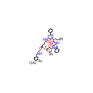 CC(=O)Oc1ccc(CNCCOCCCCC(=O)N[C@@H](CCc2ccccc2)C(=O)N[C@@H](CCC(C)C)C(=O)N[C@@H](Cc2ccccc2)C(=O)N[C@@H](CCC(C)C)C(=O)[C@@]2(C)CO2)cc1C(C)=O